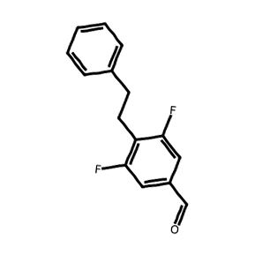 O=Cc1cc(F)c(CCc2ccccc2)c(F)c1